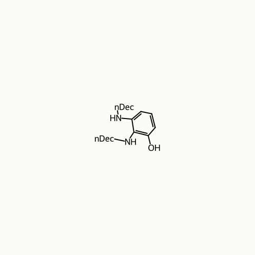 CCCCCCCCCCNc1cccc(O)c1NCCCCCCCCCC